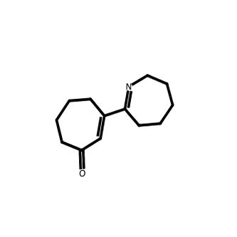 O=C1C=C(C2=NCCCCC2)CCCC1